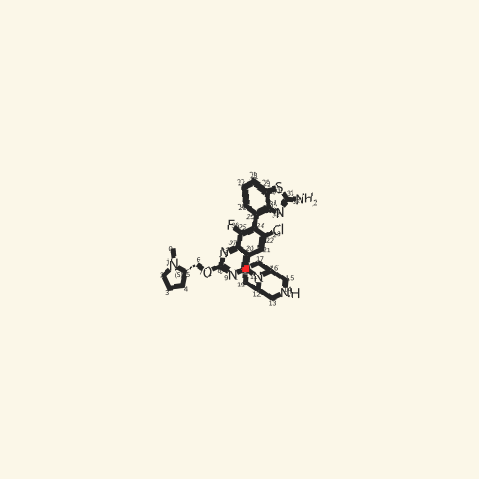 CN1CCC[C@H]1COc1nc(N2C3CNCC2COC3)c2cc(Cl)c(-c3cccc4sc(N)nc34)c(F)c2n1